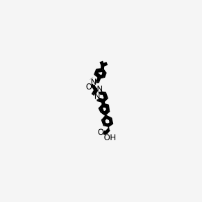 CC(C)c1ccc(CN(C)C(=O)c2cn3cc(-c4ccc([C@H]5CC[C@H](CC(=O)O)CC5)cc4)ccc3n2)cc1